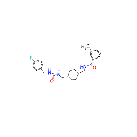 Cc1cccc(C(=O)NCC2CCC(CNC(=O)NCc3ccc(F)cc3)CC2)c1